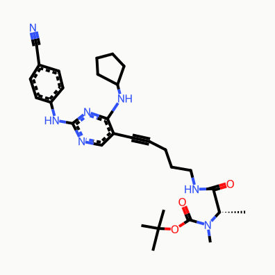 C[C@@H](C(=O)NCCCC#Cc1cnc(Nc2ccc(C#N)cc2)nc1NC1CCCC1)N(C)C(=O)OC(C)(C)C